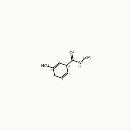 CCCNC(=O)C1C=CCC(C#N)=C1